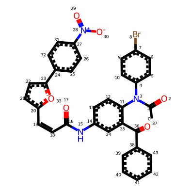 CC(=O)N(c1ccc(Br)cc1)c1ccc(NC(=O)/C=C\c2ccc(-c3ccc([N+](=O)[O-])cc3)o2)cc1C(=O)c1ccccc1